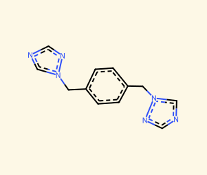 c1ncn(Cc2ccc(Cn3cncn3)cc2)n1